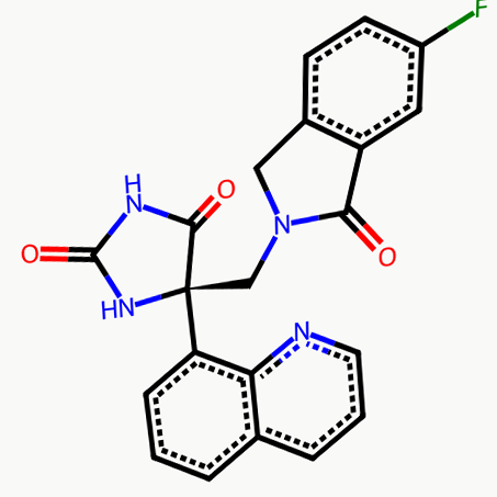 O=C1NC(=O)[C@](CN2Cc3ccc(F)cc3C2=O)(c2cccc3cccnc23)N1